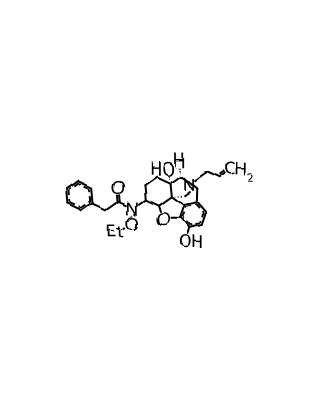 C=CCN1CC[C@]23c4c5ccc(O)c4OC2C(N(OCC)C(=O)Cc2ccccc2)CC[C@@]3(O)[C@H]1C5